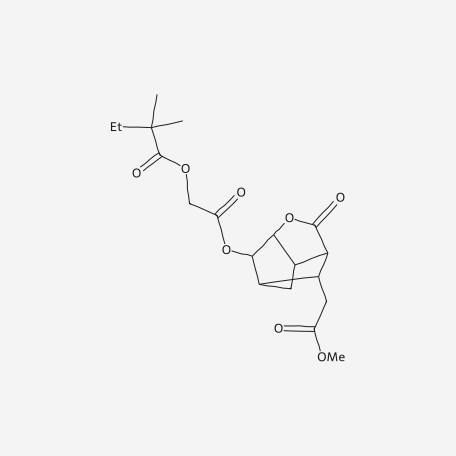 CCC(C)(C)C(=O)OCC(=O)OC1C2CC3C1OC(=O)C3C2CC(=O)OC